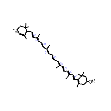 CC1=C[C@H](C)CC(C)(C)C1/C=C/C(C)=C/C=C/C(C)=C/C=C/C=C(C)/C=C/C=C(C)/C=C/C1=C(C)CC(O)CC1(C)C